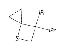 CC(C)C1(C(C)C)CSC12CC2